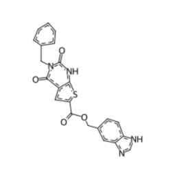 O=C(OCc1ccc2[nH]cnc2c1)c1cc2c(=O)n(Cc3ccccc3)c(=O)[nH]c2s1